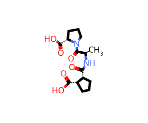 C[C@H](NC(=O)[C@@H]1CCC[C@@H]1C(=O)O)C(=O)N1CCC[C@H]1C(=O)O